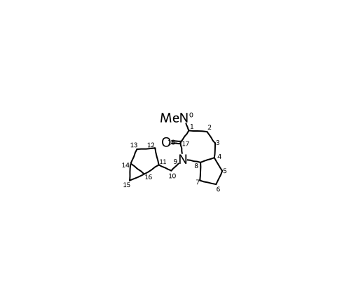 CNC1CCC2CCCC2N(CC2CCC3CC32)C1=O